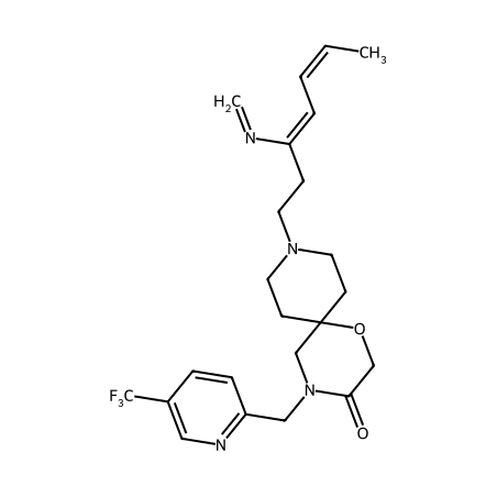 C=N/C(=C\C=C/C)CCN1CCC2(CC1)CN(Cc1ccc(C(F)(F)F)cn1)C(=O)CO2